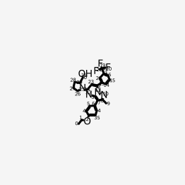 CCOc1ccc(-c2c(C)nn3c(-c4cccc(C(F)(F)F)c4)cc(N4CCCC4CO)nc23)cc1